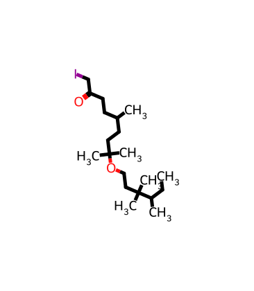 CCC(C)C(C)(C)CCOC(C)(C)CCC(C)CCC(=O)CI